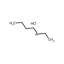 CCC[CH2][Al][CH2]C.Cl